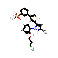 CS(=O)(=O)c1cccc(-c2csc(-c3cc(C(F)(F)F)nn3-c3ccccc3OCCCCl)c2)c1